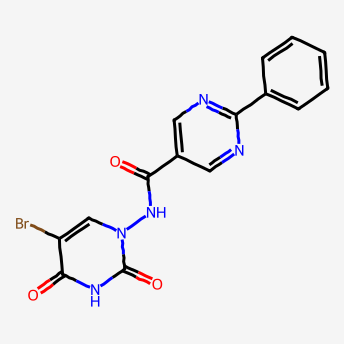 O=C(Nn1cc(Br)c(=O)[nH]c1=O)c1cnc(-c2ccccc2)nc1